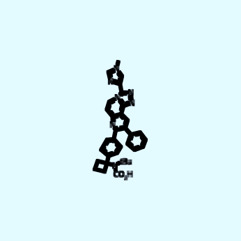 Cn1cnc(-c2nnc3c4cc(-c5ccccc5)c(-c5ccc(C6(N(C(=O)O)C(C)(C)C)CCC6)cc5)nc4ccn23)c1